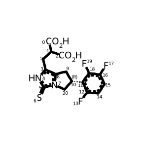 O=C(O)C(Cc1[nH]c(=S)n2c1C[C@H](c1c(F)ccc(F)c1F)C2)C(=O)O